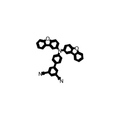 N#Cc1cc(C#N)cc(-c2ccc(N(c3ccc4oc5ccccc5c4c3)c3ccc4oc5ccccc5c4c3)cc2)c1